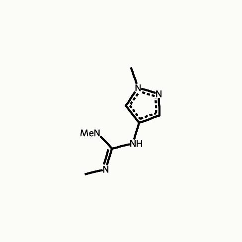 C/N=C(\NC)Nc1cnn(C)c1